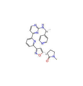 C[C@@H](Nc1nccc(-c2cccc(-c3cc([C@@H]4CCN(C)C4=O)on3)n2)n1)c1ccncc1